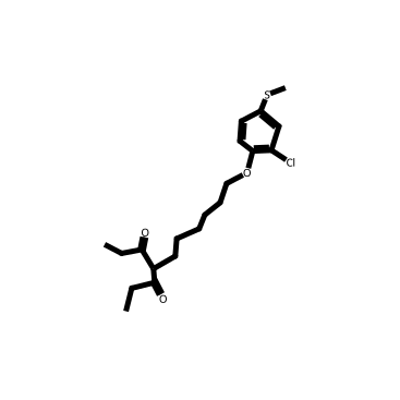 CCC(=O)C(CCCCCCOc1ccc(SC)cc1Cl)C(=O)CC